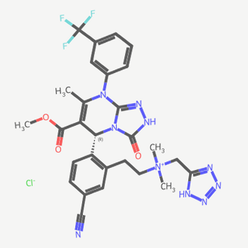 COC(=O)C1=C(C)N(c2cccc(C(F)(F)F)c2)c2n[nH]c(=O)n2[C@@H]1c1ccc(C#N)cc1CC[N+](C)(C)Cc1nnn[nH]1.[Cl-]